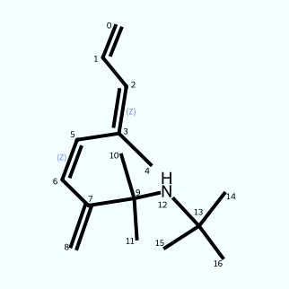 C=C/C=C(C)\C=C/C(=C)C(C)(C)NC(C)(C)C